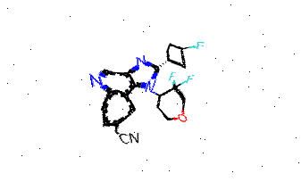 N#Cc1ccc2ncc3nc([C@H]4C[C@H](F)C4)n(C4CCOCC4(F)F)c3c2c1